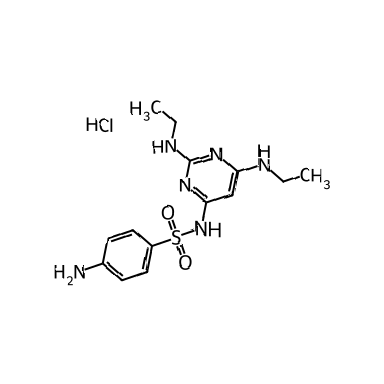 CCNc1cc(NS(=O)(=O)c2ccc(N)cc2)nc(NCC)n1.Cl